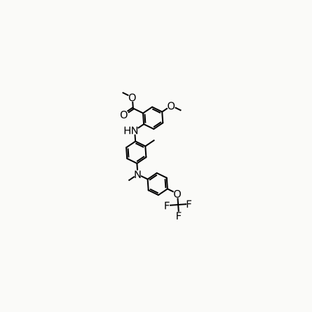 COC(=O)c1cc(OC)ccc1Nc1ccc(N(C)c2ccc(OC(F)(F)F)cc2)cc1C